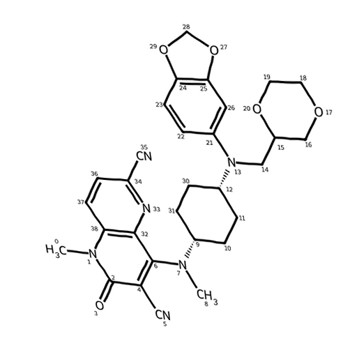 Cn1c(=O)c(C#N)c(N(C)[C@H]2CC[C@@H](N(CC3COCCO3)c3ccc4c(c3)OCO4)CC2)c2nc(C#N)ccc21